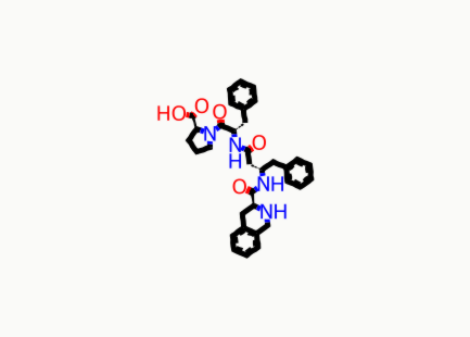 O=C(C[C@H](Cc1ccccc1)NC(=O)[C@@H]1Cc2ccccc2CN1)N[C@@H](Cc1ccccc1)C(=O)N1CCC[C@H]1C(=O)O